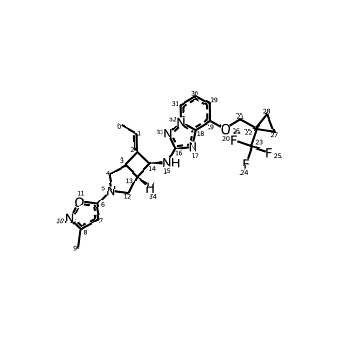 C/C=C1\C2CN(c3cc(C)no3)C[C@H]2[C@@H]1Nc1nc2c(OCC3(C(F)(F)F)CC3)cccn2n1